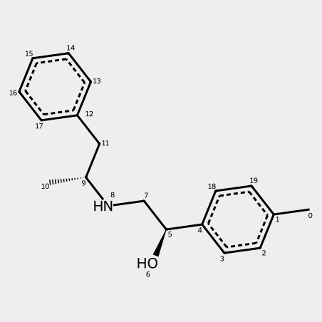 Cc1ccc([C@@H](O)CN[C@H](C)Cc2ccccc2)cc1